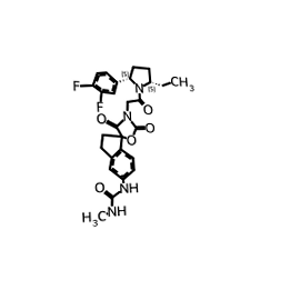 CC[C@H]1CC[C@@H](c2ccc(F)c(F)c2)N1C(=O)CN1C(=O)OC2(CCc3cc(NC(=O)NC)ccc32)C1=O